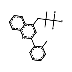 Cc1ccccc1-c1cc(CC(C)(C)C(F)(F)F)c2ccccc2n1